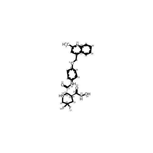 Cc1cc(COc2ccc(NC(=O)[C@H]3NCC(F)(F)C[C@@H]3C(=O)NO)cc2)c2ccccc2n1